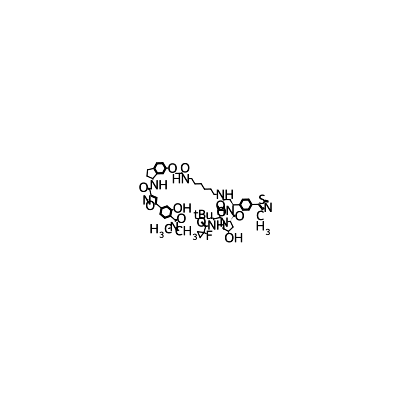 Cc1ncsc1-c1ccc([C@H](CC(=O)NCCCCCCNC(=O)COc2ccc3c(c2)[C@H](NC(=O)c2cc(-c4ccc(C(=O)N(C)C)c(O)c4)on2)CC3)NC(=O)[C@@H]2C[C@@H](O)CN2C(=O)[C@@H](NC(=O)C2(F)CC2)C(C)(C)C)cc1